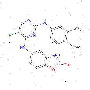 COc1ccc(Nc2ncc(F)c(Nc3ccc4oc(=O)[nH]c4c3)n2)cc1C(F)(F)F